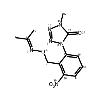 CC(C)=NOCc1c(-n2nnn(C)c2=O)cccc1[N+](=O)[O-]